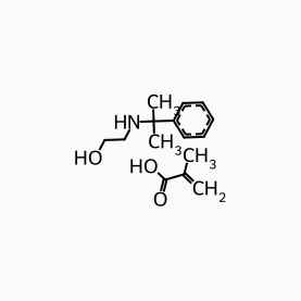 C=C(C)C(=O)O.CC(C)(NCCO)c1ccccc1